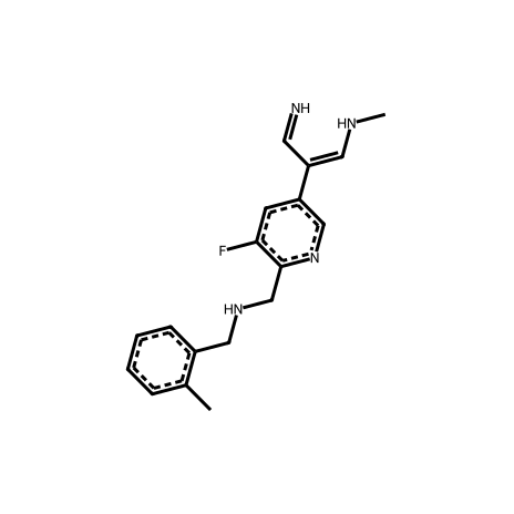 CN/C=C(\C=N)c1cnc(CNCc2ccccc2C)c(F)c1